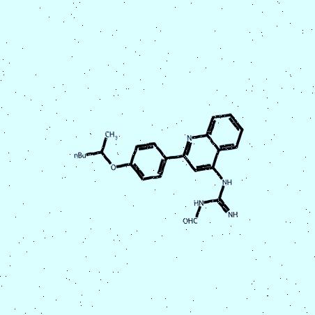 CCCCC(C)Oc1ccc(-c2cc(NC(=N)NC=O)c3ccccc3n2)cc1